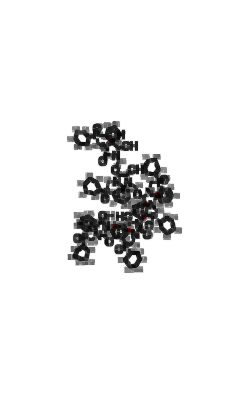 O=C1N(COC2C(O)N(COC3C(OCN4C(=O)N(CP(=O)(c5ccccc5)c5ccccc5)C(OCN5C(=O)N(CP(=O)(c6ccccc6)c6ccccc6)C(O)C5O)C4O)N(CP(=O)(c4ccccc4)c4ccccc4)C(=O)N3CP(=O)(c3ccccc3)c3ccccc3)C(=O)N2CP(=O)(c2ccccc2)c2ccccc2)C(O)C(O)N1CP(=O)(c1ccccc1)c1ccccc1